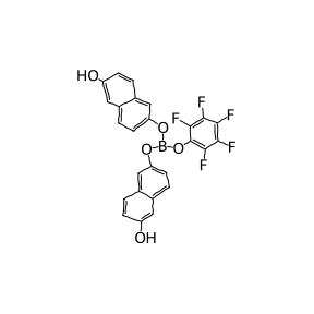 Oc1ccc2cc(OB(Oc3ccc4cc(O)ccc4c3)Oc3c(F)c(F)c(F)c(F)c3F)ccc2c1